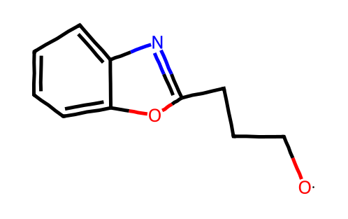 [O]CCCc1nc2ccccc2o1